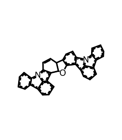 C1=CC2c3ccc4c(c3OC2c2c1n1c3ccccc3c3cccc2c31)c1cccc2c3ccccc3n4c21